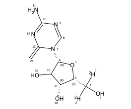 [2H]C([2H])(O)[C@H]1O[C@@H](N2C=NC(N)=NC2=C)C(O)[C@H]1O